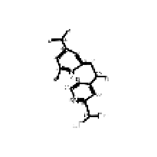 Cc1cc(C(C)C)cc(CC(C)c2ccnc(C(F)F)c2)n1